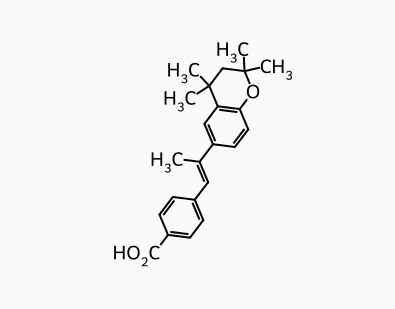 CC(=Cc1ccc(C(=O)O)cc1)c1ccc2c(c1)C(C)(C)CC(C)(C)O2